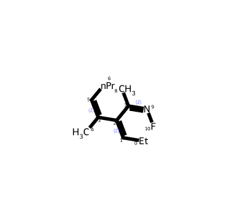 CC/C=C(C(/C)=C\CCC)\C(C)=N/F